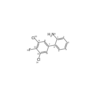 Nc1ccccc1-c1cc(Cl)c(F)c(Cl)c1